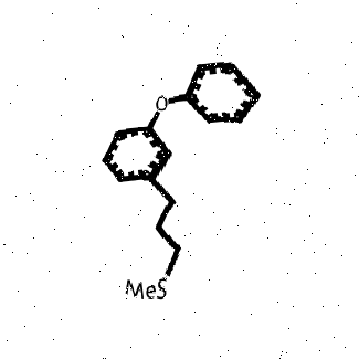 CSCCCc1cccc(Oc2ccccc2)c1